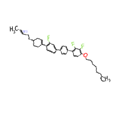 C/C=C/CCC1CC=C(c2ccc(-c3ccc(-c4ccc(OCCCCCCC)c(F)c4F)cc3)cc2F)CC1